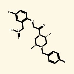 C[C@@H]1CN(Cc2ccc(F)cc2)[C@@H](C)CN1C(=O)COc1ccc(Cl)cc1C[PH](=O)O